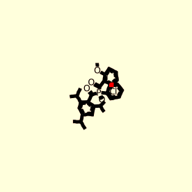 COc1cccc(Cl)c1C(=O)P(=O)(C(=O)c1c(C(C)C)cc(C(C)C)cc1C(C)C)c1ccccc1